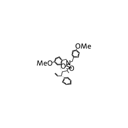 C=C[C@@H](c1ccccc1)[C@H](C)C(C)S(=O)(=O)N(Cc1ccc(OC)cc1)Cc1ccc(OC)cc1